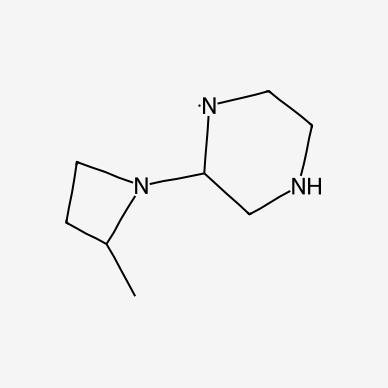 CC1CCN1C1CNCC[N]1